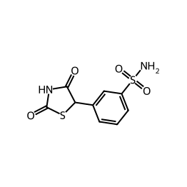 NS(=O)(=O)c1cccc(C2SC(=O)NC2=O)c1